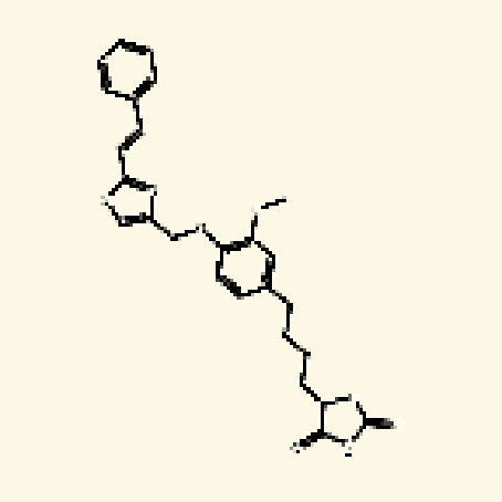 COc1cc(CCCCC2OC(=O)NC2=O)ccc1OCc1csc(C=Cc2ccccc2)n1